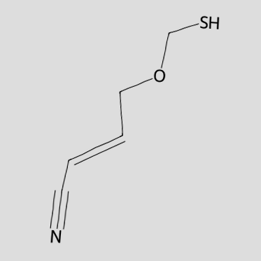 N#C/C=C/COCS